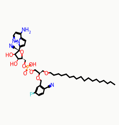 CCCCCCCCCCCCCCCCCCOC[C@H](COP(=O)(O)OC[C@H]1O[C@@](C#N)(c2ccc3c(N)ccnn23)[C@H](O)[C@@H]1O)OCc1cc(F)ccc1C#N